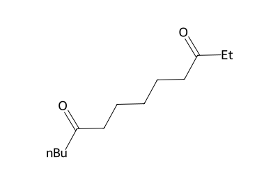 CCCCC(=O)CCCCCC(=O)CC